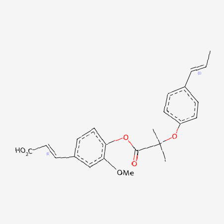 C/C=C/c1ccc(OC(C)(C)C(=O)Oc2ccc(/C=C/C(=O)O)cc2OC)cc1